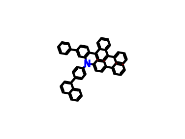 c1ccc(-c2ccc(N(c3ccc(-c4cccc5ccccc45)cc3)c3cc(-c4ccccc4)ccc3-c3ccc(-c4ccccc4)c4ccccc34)cc2)cc1